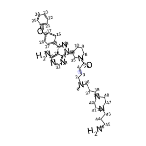 CN(C/C=C/C(=O)N1CCC[C@@H](n2nc(-c3ccc(Oc4ccccc4)cc3)c3c(N)ncnc32)C1)CCCN1CCN(CCCN)CC1